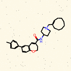 Cc1ccc(-c2ccc3c(c2)C=C(C(=O)NC2CCN(CC4=CCCCCCCC4)CC2)CCO3)cc1